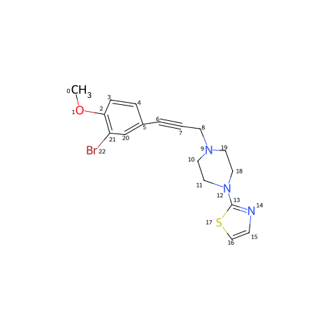 COc1ccc(C#CCN2CCN(c3nccs3)CC2)cc1Br